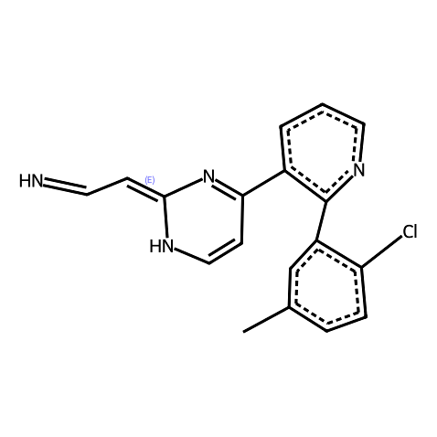 Cc1ccc(Cl)c(-c2ncccc2C2=N/C(=C/C=N)NC=C2)c1